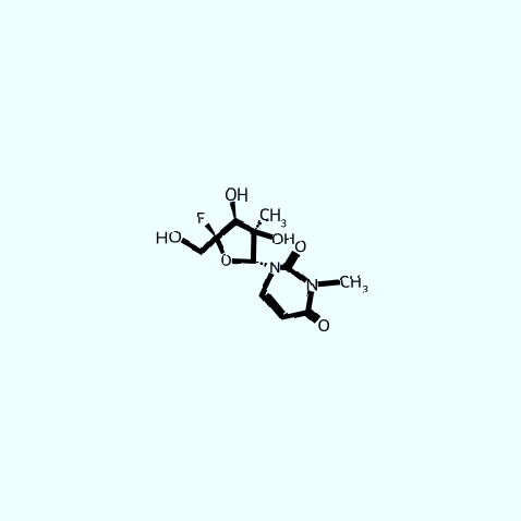 Cn1c(=O)ccn([C@@H]2O[C@](F)(CO)[C@@H](O)[C@@]2(C)O)c1=O